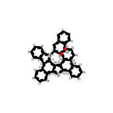 c1ccc2cc(-n3c4ccccc4c4c5ccccc5c5sc6c7ccccc7c7ccccc7c6c5c43)ccc2c1